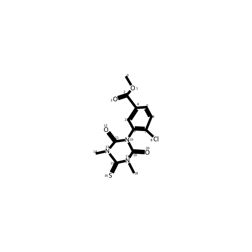 COC(=O)c1ccc(Cl)c(-n2c(=O)n(C)c(=S)n(C)c2=O)c1